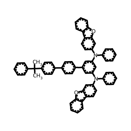 CC(C)(c1ccccc1)c1ccc(-c2ccc(-c3cc(N(c4ccccc4)c4ccc5c(c4)oc4ccccc45)cc(N(c4ccccc4)c4ccc5c(c4)oc4ccccc45)c3)cc2)cc1